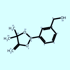 C=C1OB(c2cccc(CO)c2)OC1(C)C